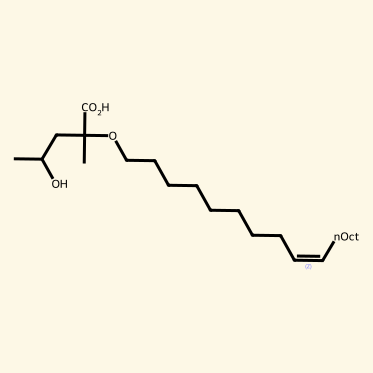 CCCCCCCC/C=C\CCCCCCCCOC(C)(CC(C)O)C(=O)O